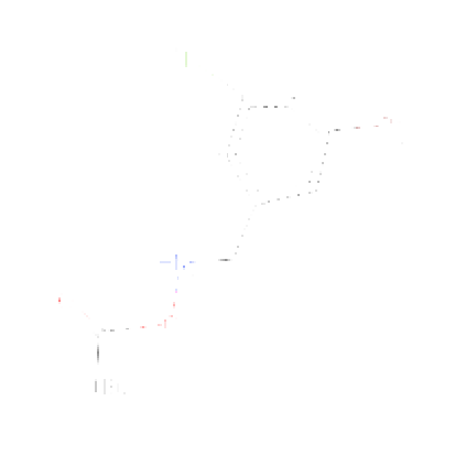 CC(C)(C)C(=O)ONCc1cc(F)cc(Br)c1